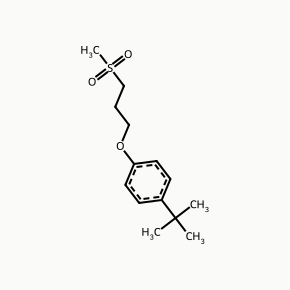 CC(C)(C)c1ccc(OCCCS(C)(=O)=O)cc1